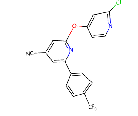 N#Cc1cc(Oc2ccnc(Cl)c2)nc(-c2ccc(C(F)(F)F)cc2)c1